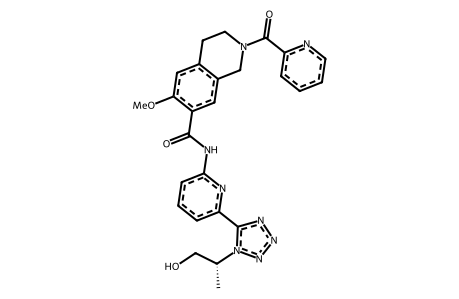 COc1cc2c(cc1C(=O)Nc1cccc(-c3nnnn3[C@H](C)CO)n1)CN(C(=O)c1ccccn1)CC2